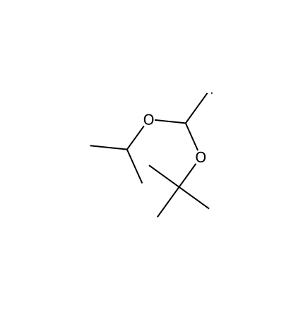 [CH2]C(OC(C)C)OC(C)(C)C